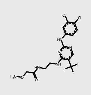 COCC(=O)NCCNc1nc(Nc2ccc(Cl)c(Cl)c2)ncc1C(F)(F)F